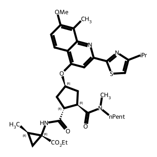 CCCCCN(C)C(=O)[C@@H]1C[C@H](Oc2cc(-c3nc(C(C)C)cs3)nc3c(C)c(OC)ccc23)C[C@H]1C(=O)N[C@]1(C(=O)OCC)C[C@H]1C